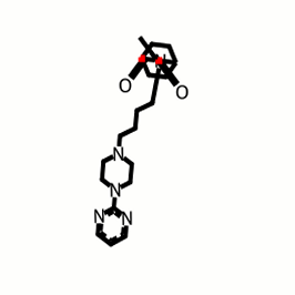 O=C1C2CCC(CC2)C(=O)N1CCCCN1CCN(c2ncccn2)CC1